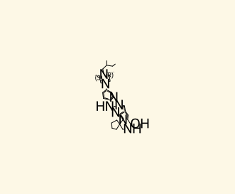 CCC(C)CN1[C@H](C)CN(c2ccc(Nc3ncc4cc5n(c4n3)C3(CCCC3)CNC5O)nc2)C[C@@H]1C